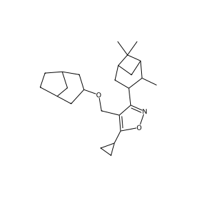 CC1C(c2noc(C3CC3)c2COC2CC3CCC(C3)C2)CC2CC1C2(C)C